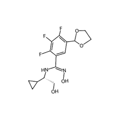 OC[C@@H](N/C(=N\O)c1cc(C2OCCO2)c(F)c(F)c1F)C1CC1